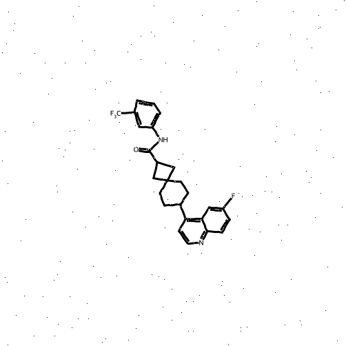 O=C(Nc1cccc(C(F)(F)F)c1)C1CC2(CCC(c3ccnc4ccc(F)cc34)CC2)C1